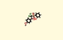 COc1ccc(C(O)C(F)(F)S(=O)(=O)c2ccccc2)cc1